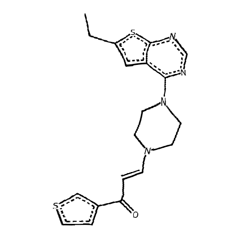 CCc1cc2c(N3CCN(C=CC(=O)c4ccsc4)CC3)ncnc2s1